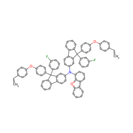 C=Cc1ccc(Oc2ccc(C3(c4cccc(F)c4)c4ccccc4-c4ccc(N(c5ccc6c(c5)C(c5ccc(Oc7ccc(C=C)cc7)cc5)(c5cccc(F)c5)c5ccccc5-6)c5cccc6c5oc5ccccc56)cc43)cc2)cc1